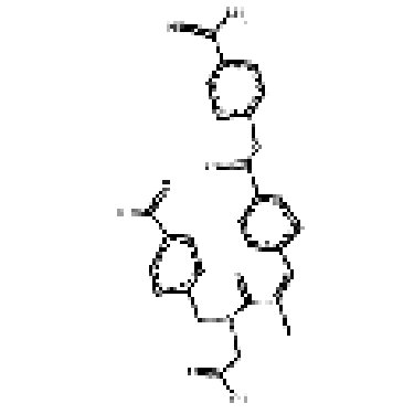 CC(=Cc1ccc(C(=O)Oc2ccc(C(=N)N)cc2)cc1)C(=O)N(CC(=O)O)Cc1ccc(C(=O)O)cc1